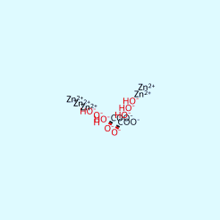 O=C([O-])[O-].O=C([O-])[O-].[OH-].[OH-].[OH-].[OH-].[OH-].[OH-].[Zn+2].[Zn+2].[Zn+2].[Zn+2].[Zn+2]